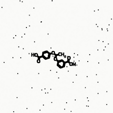 CC(Oc1ccc(C(=O)O)cc1)Oc1cccc(C(=O)O)c1